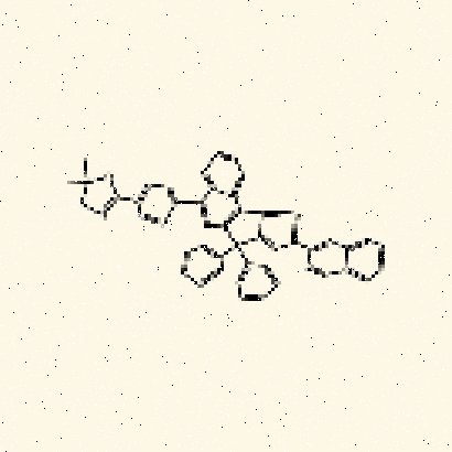 CC1(C)CN=C(c2ccc(-c3cc4c(c5ccccc35)-c3ccc(-c5ccc6ccccc6c5)cc3C4(c3ccccc3)c3ccccc3)cc2)O1